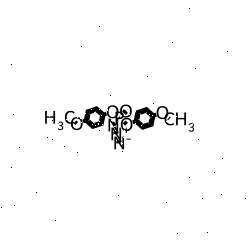 COc1ccc(OP(=O)(N=[N+]=[N-])Oc2ccc(OC)cc2)cc1